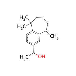 CC(O)c1ccc2c(c1)C(C)CCCC2(C)C